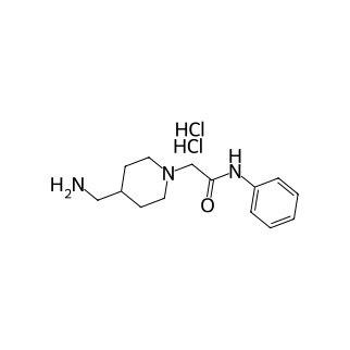 Cl.Cl.NCC1CCN(CC(=O)Nc2ccccc2)CC1